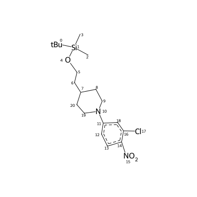 CC(C)(C)[Si](C)(C)OCCC1CCN(c2ccc([N+](=O)[O-])c(Cl)c2)CC1